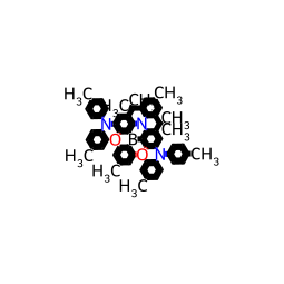 Cc1ccc(N(c2ccc(C)cc2)c2cc3c4c5c2Oc2cc(C)cc6c2B5c2c(c(N(c5ccc(C)cc5)c5ccc(C)cc5)cc5c2N4c2c(cc(C)cc2C5(C)C)C3(C)C)O6)cc1